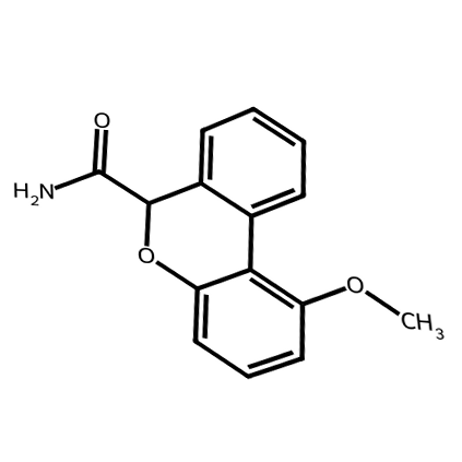 COc1cccc2c1-c1ccccc1C(C(N)=O)O2